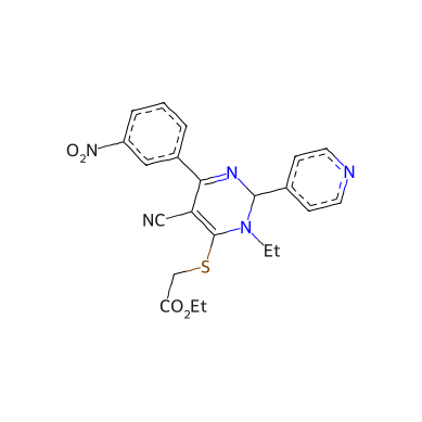 CCOC(=O)CSC1=C(C#N)C(c2cccc([N+](=O)[O-])c2)=NC(c2ccncc2)N1CC